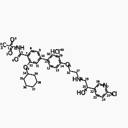 CS(=O)(=O)NC(=O)c1ccc(-c2ccc(OCCNC[C@H](O)c3ccc(Cl)nc3)cc2)cc1OC1CCCCC1.Cl